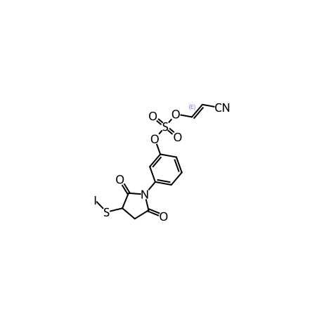 N#C/C=C/OS(=O)(=O)Oc1cccc(N2C(=O)CC(SI)C2=O)c1